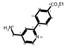 CCOC(=O)c1ccc(-c2cc(CN)ccn2)cc1